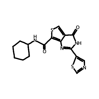 O=C(NC1CCCCC1)c1scc2c(=O)[nH]c(-c3cncs3)nc12